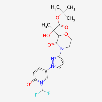 CC(C)(C)OC(=O)C(C)(O)C1OCCN(c2ccn(-c3ccc(=O)n(C(F)F)c3)n2)C1=O